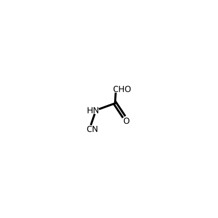 N#CNC(=O)C=O